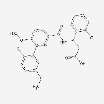 COc1ccc(F)c(-c2nc(C(=O)N[C@@H](CC(=O)O)c3ccccc3Cl)ccc2OC)c1